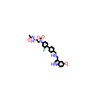 COc1ccc2[nH]cc(CNCc3ccc(-c4ccc(N5C[C@H](CNC(C)=O)OC5=O)cc4F)cc3)c2c1